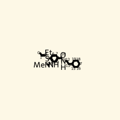 C/C=C(\CC)Sc1ccc(C(=O)NCCC2CCCCC2)cc1NNC